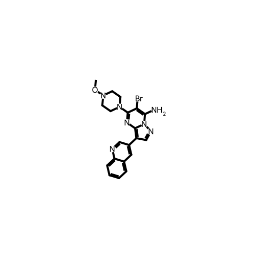 CON1CCN(c2nc3c(-c4cnc5ccccc5c4)cnn3c(N)c2Br)CC1